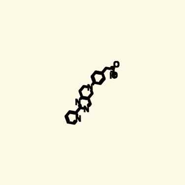 O=[SH](=O)Cc1ccc(N2CCc3nc(-c4ccccn4)ncc3C2)cc1